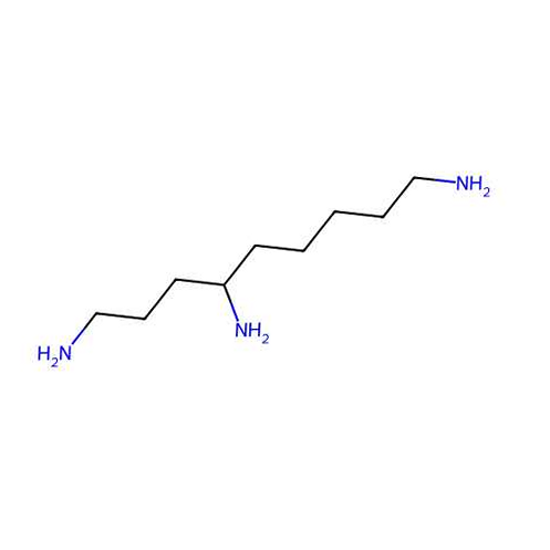 NCCCCCC(N)CCCN